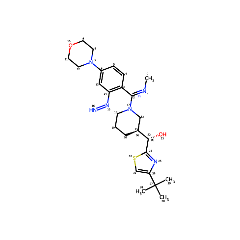 C/N=C(\c1ccc(N2CCOCC2)cc1N=N)N1CCC[C@H]([C@H](O)c2nc(C(C)(C)C)cs2)C1